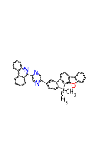 CC1(C)c2ccc(-c3cnc(-c4nc5ccccc5c5ccccc45)cn3)cc2-c2ccc3c(oc4ccccc43)c21